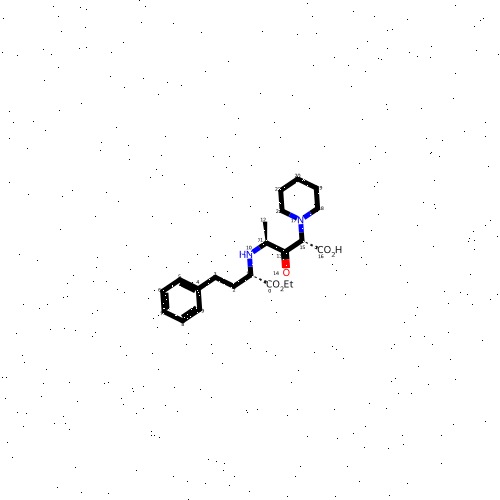 CCOC(=O)[C@H](CCc1ccccc1)N[C@@H](C)C(=O)[C@@H](C(=O)O)N1CCCCC1